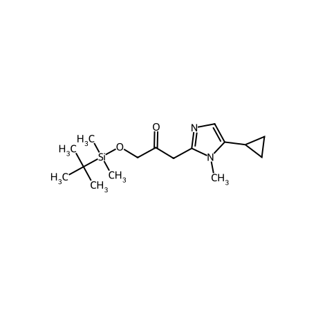 Cn1c(C2CC2)cnc1CC(=O)CO[Si](C)(C)C(C)(C)C